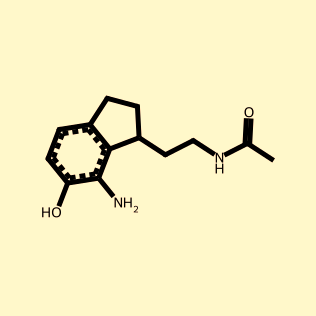 CC(=O)NCCC1CCc2ccc(O)c(N)c21